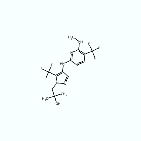 CNc1nc(Nc2cnn(CC(C)(C)O)c2C(F)(F)F)ncc1C(F)(F)F